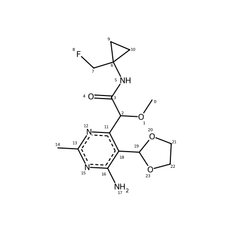 COC(C(=O)NC1(CF)CC1)c1nc(C)nc(N)c1C1OCCO1